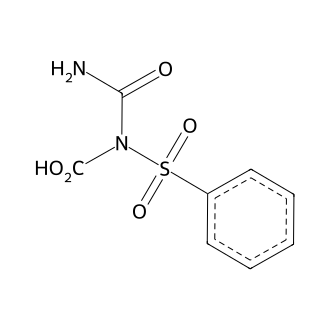 NC(=O)N(C(=O)O)S(=O)(=O)c1ccccc1